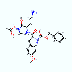 COc1ccc(CC(NC(=O)OCc2ccccc2)C(=O)N2CCN(OC(C)=O)C(=O)C2CCCN)cc1